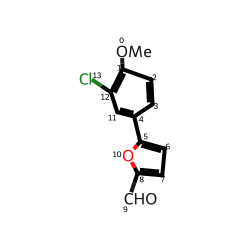 COc1ccc(-c2ccc(C=O)o2)cc1Cl